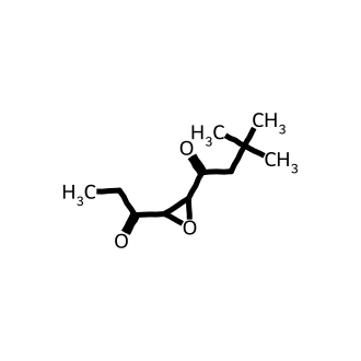 CCC(=O)C1OC1C(=O)CC(C)(C)C